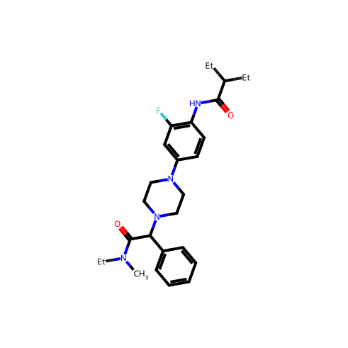 CCC(CC)C(=O)Nc1ccc(N2CCN(C(C(=O)N(C)CC)c3ccccc3)CC2)cc1F